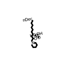 CCCCCCCCCCCCCCCCCCC(CN1CCCCC1)OP(=O)(O)O